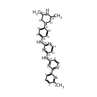 Cc1cccc(-c2nccc(Nc3ccnc(Nc4ccc(N5CC(C)NC(C)C5)cc4)n3)n2)n1